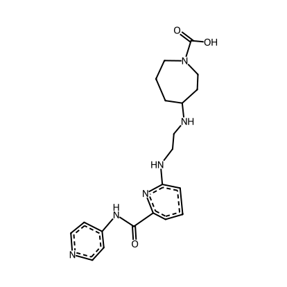 O=C(Nc1ccncc1)c1cccc(NCCNC2CCCN(C(=O)O)CC2)n1